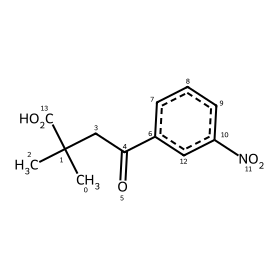 CC(C)(CC(=O)c1cccc([N+](=O)[O-])c1)C(=O)O